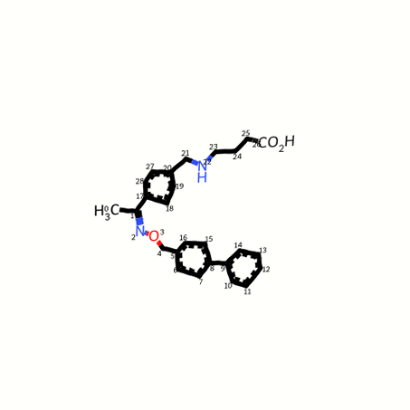 C/C(=N/OCc1ccc(-c2ccccc2)cc1)c1ccc(CNCCCC(=O)O)cc1